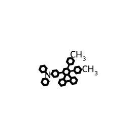 Cc1ccc(-c2cc(-c3ccc(N(c4ccccc4)c4ccccc4)cc3)c3c4ccccc4c4ccccc4c3c2-c2ccc(C)cc2)cc1